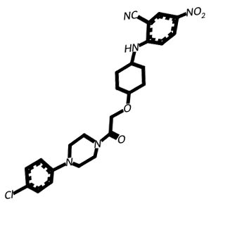 N#Cc1cc([N+](=O)[O-])ccc1NC1CCC(OCC(=O)N2CCN(c3ccc(Cl)cc3)CC2)CC1